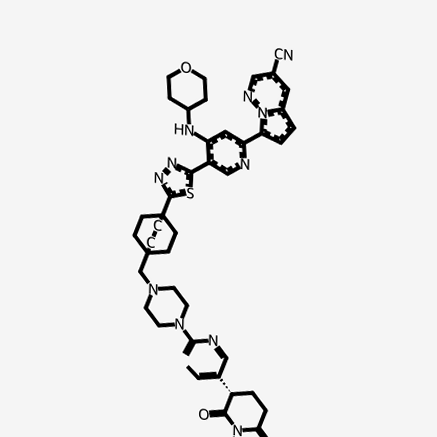 C=C(/N=C\C(=C/C)[C@@H]1CCC(=O)NC1=O)N1CCN(CC23CCC(c4nnc(-c5cnc(-c6ccc7cc(C#N)cnn67)cc5NC5CCOCC5)s4)(CC2)CC3)CC1